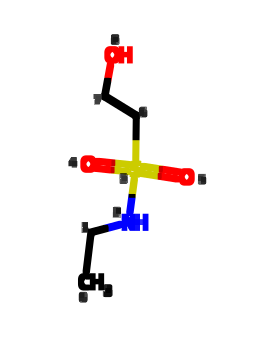 CCNS(=O)(=O)CCO